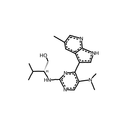 Cc1cnc2[nH]cc(-c3nc(N[C@@H](CO)C(C)C)ncc3N(C)C)c2c1